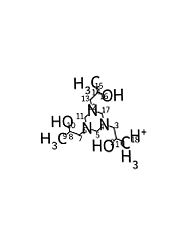 CC(O)CN1CN(CC(C)O)CN(CC(C)O)C1.[H+]